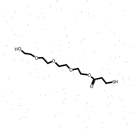 O=C(CCS)OCCOCCOCCOCCO